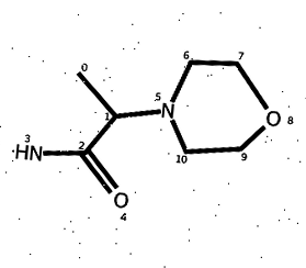 CC(C([NH])=O)N1CCOCC1